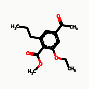 CCCc1cc(C(C)=O)cc(OCC)c1C(=O)OC